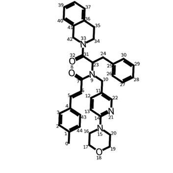 Cc1ccc(C=CC(=O)N(Cc2ccc(N3CCOCC3)nc2)C(Cc2ccccc2)C(=O)N2CCc3ccccc3C2)cc1